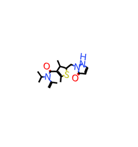 C=C(C)N(C(=O)C1=C(C)SC(Cn2[nH]ccc2=O)C1C)C(C)C